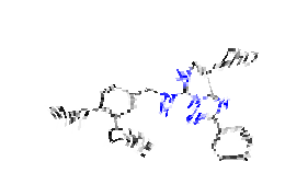 COc1ccc(CNc2ncc(C=O)c3nc(-c4ccccc4)nn23)cc1OC